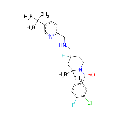 BC(B)(B)c1ccc(CNCC2(F)CCN(C(=O)c3ccc(F)c(Cl)c3)C(B)(B)C2)nc1